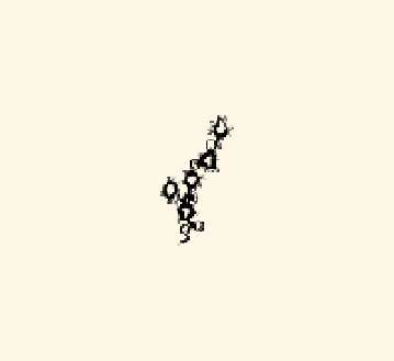 CCOC(=O)c1ccc2c(c1)nc(-c1ccc(Oc3cccc(OCc4ccncc4)c3)cc1)n2C1CCCCC1